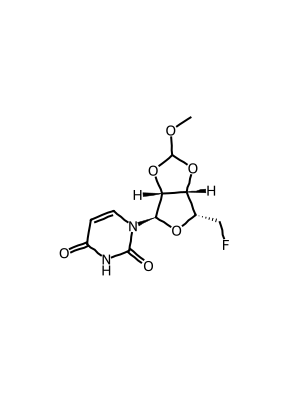 COC1O[C@@H]2[C@H](O1)[C@H](CF)O[C@H]2n1ccc(=O)[nH]c1=O